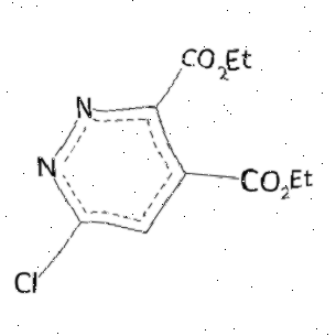 CCOC(=O)c1cc(Cl)nnc1C(=O)OCC